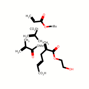 C=C(C)C(=O)OC.C=C(C)C(=O)OCC.C=C(CC=CC(=O)O)C(=O)OCCO.C=CC(=O)OCCCC